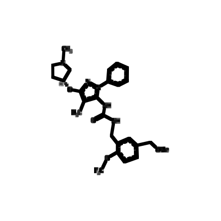 COCc1ccc(OC(F)(F)F)c(CNC(=O)Nc2c(C)c(O[C@@H]3CCN(C)C3)nn2-c2ccccc2)c1